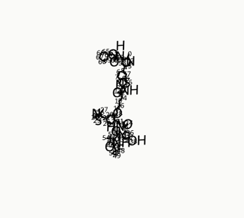 Cc1ncc(-c2ccc3nc(NC(=O)CCCCOc4cc(-c5scnc5C)ccc4CNC(=O)[C@@H]4C[C@@H](O)CN4C(=O)[C@@H](NC(=O)C4(F)CC4)C(C)(C)C)sc3c2)cc1NC(=O)OC1CCCCC1